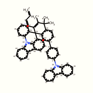 C=C/C=C\C1=C(C)C(C)(C)c2ccc(-c3ccc(-n4c5ccccc5c5ccccc54)cc3)cc2C12c1ccccc1-n1c3ccccc3c3cccc2c31